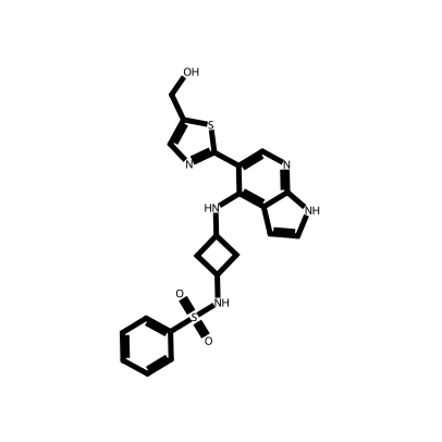 O=S(=O)(NC1CC(Nc2c(-c3ncc(CO)s3)cnc3[nH]ccc23)C1)c1ccccc1